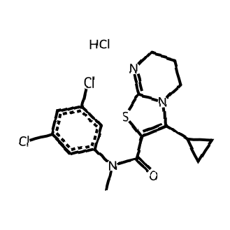 CN(C(=O)C1=C(C2CC2)N2CCCN=C2S1)c1cc(Cl)cc(Cl)c1.Cl